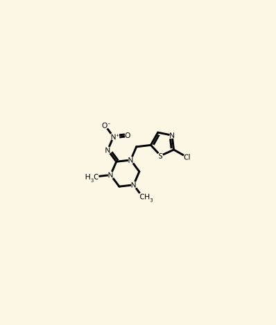 CN1CN(C)C(=N[N+](=O)[O-])N(Cc2cnc(Cl)s2)C1